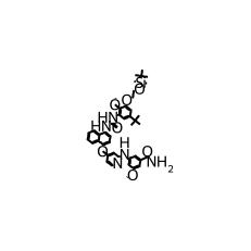 COc1cc(Nc2cc(Oc3ccc(NC(=O)Nc4cc(C(C)(C)C)cc(OCCO[Si](C)(C)C(C)(C)C)c4OC)c4ccccc34)ccn2)cc(C(N)=O)c1